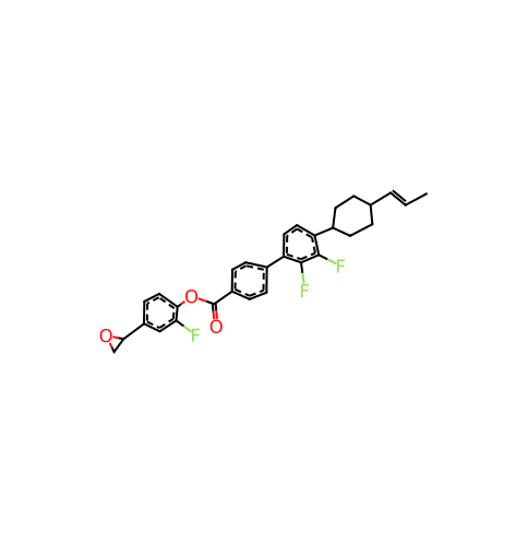 C/C=C/C1CCC(c2ccc(-c3ccc(C(=O)Oc4ccc(C5CO5)cc4F)cc3)c(F)c2F)CC1